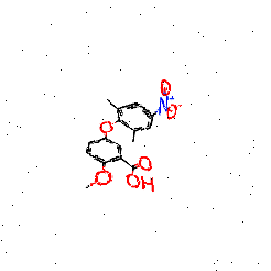 COc1ccc(Oc2c(C)cc([N+](=O)[O-])cc2C)cc1C(=O)O